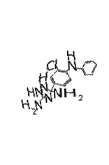 NC1=NC(N)(c2ccc(Nc3ccccc3)c(Cl)c2)NN1